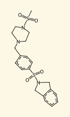 CS(=O)(=O)N1CCN(Cc2ccc(S(=O)(=O)N3Cc4ccccc4C3)cc2)CC1